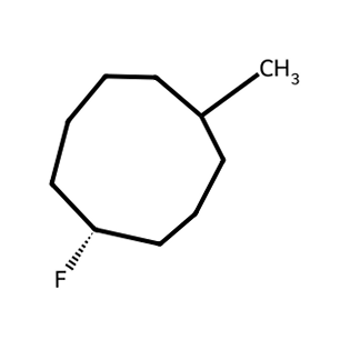 CC1CCCC[C@@H](F)CCC1